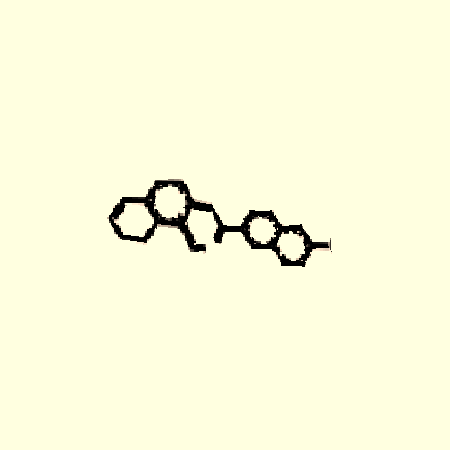 C=C(/C=c1/ccc2c(/c1=C/C)CCC=C2)c1ccc2cc(I)ccc2c1